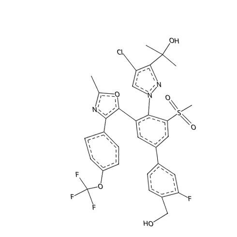 Cc1nc(-c2ccc(OC(F)(F)F)cc2)c(-c2cc(-c3ccc(CO)c(F)c3)cc(S(C)(=O)=O)c2-n2cc(Cl)c(C(C)(C)O)n2)o1